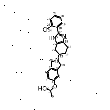 CC(O)Oc1ccc2c(c1)CN(C1CCc3nc(-c4ccccc4Cl)[nH]c3C1)C2